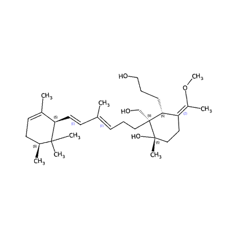 CO/C(C)=C1/CC[C@](C)(O)[C@@](CO)(CC/C=C(C)/C=C/[C@@H]2C(C)=CC[C@H](C)C2(C)C)[C@@H]1CCCO